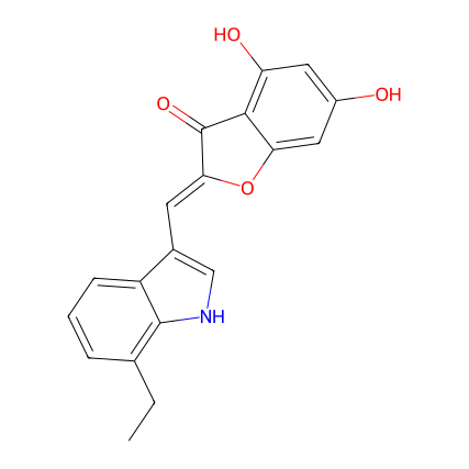 CCc1cccc2c(C=C3Oc4cc(O)cc(O)c4C3=O)c[nH]c12